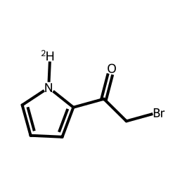 [2H]n1cccc1C(=O)CBr